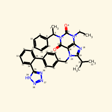 CCn1c(=O)n(C(C)c2ccccc2)c(=O)c2c1nc(C(C)C)n2Cc1ccc(-c2ccccc2-c2nnn[nH]2)cc1